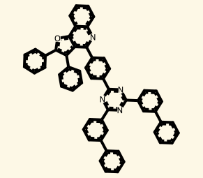 c1ccc(-c2cccc(-c3nc(-c4ccc(-c5nc6ccccc6c6oc(-c7ccccc7)c(-c7ccccc7)c56)cc4)nc(-c4cccc(-c5ccccc5)c4)n3)c2)cc1